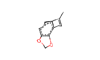 CC1=Cc2c1ccc1c2OCO1